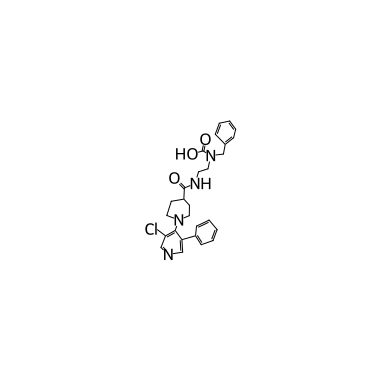 O=C(NCCN(Cc1ccccc1)C(=O)O)C1CCN(c2c(Cl)cncc2-c2ccccc2)CC1